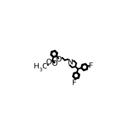 CCOC(=O)c1ccccc1OCCCN1CCC(C(c2ccc(F)cc2)c2ccc(F)cc2)CC1